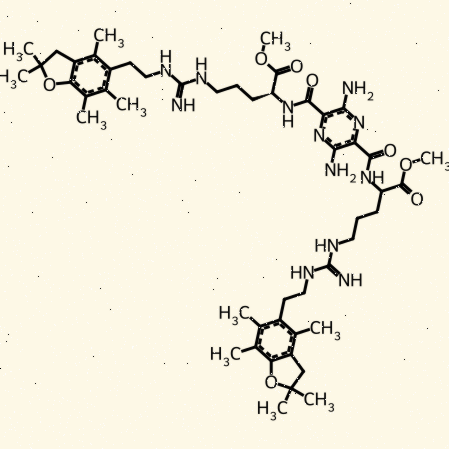 COC(=O)C(CCCNC(=N)NCCc1c(C)c(C)c2c(c1C)CC(C)(C)O2)NC(=O)c1nc(N)c(C(=O)N[C@@H](CCCNC(=N)NCCc2c(C)c(C)c3c(c2C)CC(C)(C)O3)C(=O)OC)nc1N